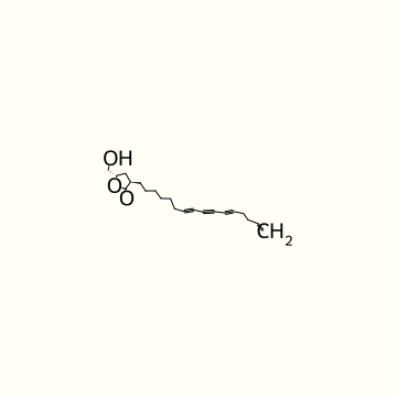 C=CCCC#CC#CC#CCCCCCC[C@@H]1C[C@@H](CO)OC1=O